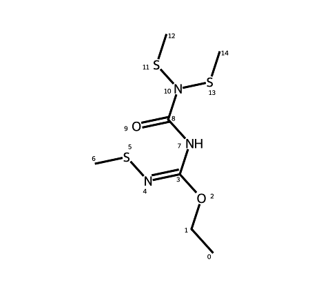 CCOC(=NSC)NC(=O)N(SC)SC